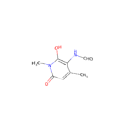 Cc1cc(=O)n(C)c(O)c1NC=O